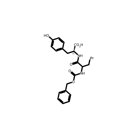 CC(C)CC(NC(=O)OCc1ccccc1)C(=O)N[C@@H](Cc1ccc(O)cc1)C(=O)O